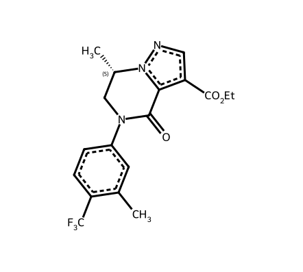 CCOC(=O)c1cnn2c1C(=O)N(c1ccc(C(F)(F)F)c(C)c1)C[C@@H]2C